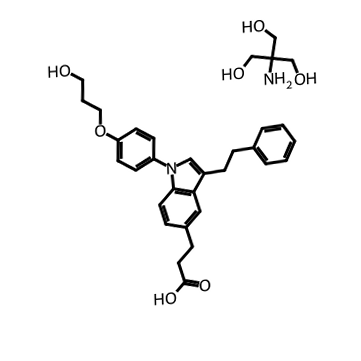 NC(CO)(CO)CO.O=C(O)CCc1ccc2c(c1)c(CCc1ccccc1)cn2-c1ccc(OCCCO)cc1